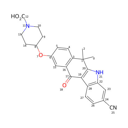 CC1(C)c2ccc(OC3CCN(C(=O)O)CC3)cc2C(=O)c2c1[nH]c1cc(C#N)ccc21